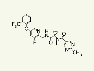 Cc1ncc(C(=O)NC2(C(=O)NCc3ncc(Oc4ccccc4C(F)(F)F)cc3F)CC2)cn1